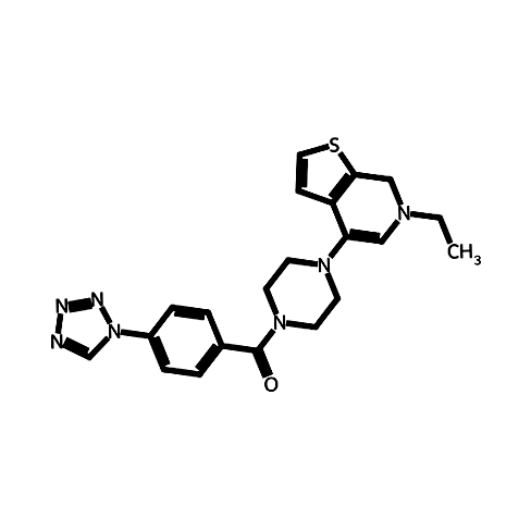 CCN1C=C(N2CCN(C(=O)c3ccc(-n4cnnn4)cc3)CC2)c2ccsc2C1